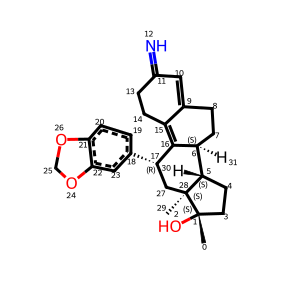 C[C@]1(O)CC[C@H]2[C@@H]3CCC4=CC(=N)CCC4=C3[C@@H](c3ccc4c(c3)OCO4)C[C@@]21C